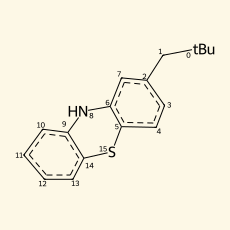 CC(C)(C)Cc1ccc2c(c1)Nc1ccccc1S2